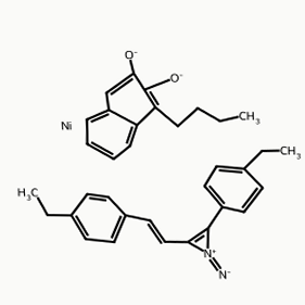 CCCCc1c([O-])c([O-])cc2ccccc12.CCc1ccc(C=CC2=C(c3ccc(CC)cc3)[N+]2=[N-])cc1.[Ni]